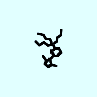 CCC[CH2][Sn]([CH2]CCC)([CH2]CCC)[c]1cccc(-n2c(C)ccc2C)n1